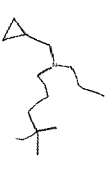 CCCN(CCCC(C)(C)C)CC1CC1